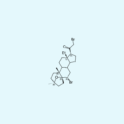 CC[C@]12CCC3C(C[C@@H](Br)[C@@]45CC[C@@](C)(CC[C@]34C)O5)C1CC[C@@H]2C(=O)CBr